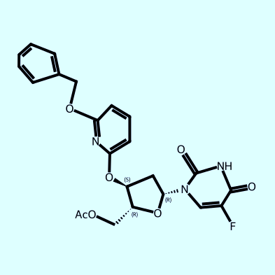 CC(=O)OC[C@H]1O[C@@H](n2cc(F)c(=O)[nH]c2=O)C[C@@H]1Oc1cccc(OCc2ccccc2)n1